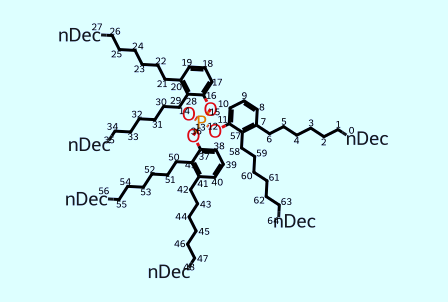 CCCCCCCCCCCCCCCCc1cccc(OP(=O)(Oc2cccc(CCCCCCCCCCCCCCCC)c2CCCCCCCCCCCCCCCC)Oc2cccc(CCCCCCCCCCCCCCCC)c2CCCCCCCCCCCCCCCC)c1CCCCCCCCCCCCCCCC